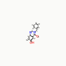 Cc1cc2ncn(Cc3ccccc3)c(=O)c2cc1O